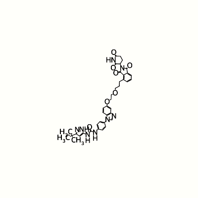 CC(C)(C)c1cc(NC(=O)Nc2ccc(-n3cnc4cc(OCCOCCCc5cccc6c5C(=O)N(C5CCC(=O)NC5=O)C6=O)ccc43)cc2)[nH]n1